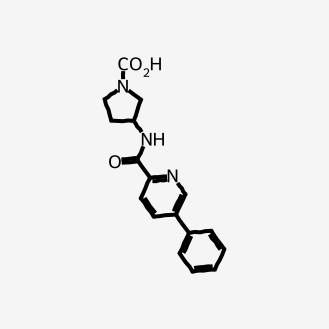 O=C(NC1CCN(C(=O)O)C1)c1ccc(-c2ccccc2)cn1